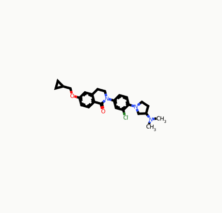 CN(C)C1CCN(c2ccc(N3CCc4cc(OCC5CC5)ccc4C3=O)cc2Cl)C1